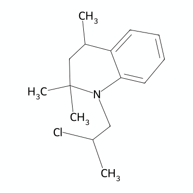 CC(Cl)CN1c2ccccc2C(C)CC1(C)C